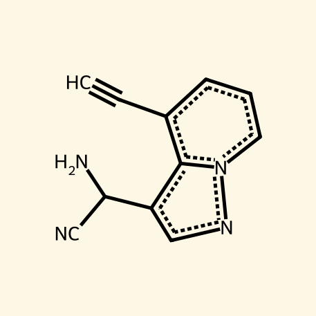 C#Cc1cccn2ncc(C(N)C#N)c12